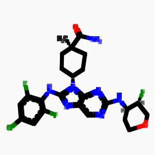 C[C@]1(C(N)=O)CC[C@H](n2c(Nc3c(F)cc(Cl)cc3F)nc3cnc(N[C@@H]4CCOC[C@H]4F)nc32)CC1